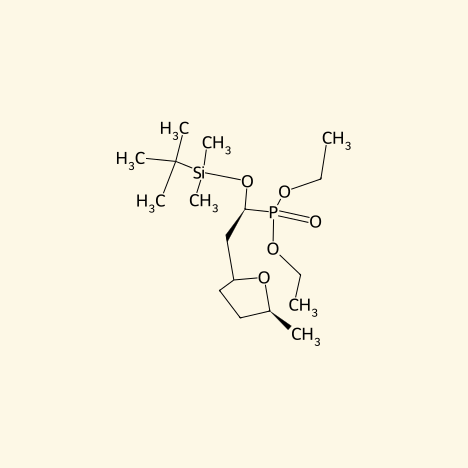 CCOP(=O)(OCC)[C@@H](CC1CC[C@H](C)O1)O[Si](C)(C)C(C)(C)C